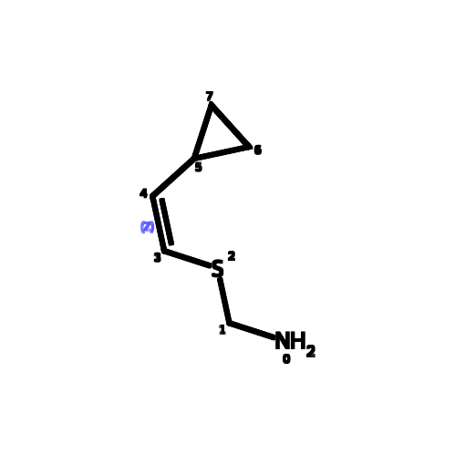 NCS/C=C\C1CC1